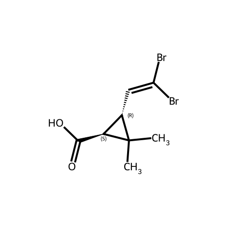 CC1(C)[C@@H](C=C(Br)Br)[C@@H]1C(=O)O